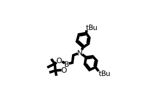 CC(C)(C)c1ccc(N(CCB2OC(C)(C)C(C)(C)O2)c2ccc(C(C)(C)C)cc2)cc1